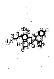 CC(C)(C)Oc1cc(C(=O)CC(N)=O)ccc1C1=N[C@@H](c2ccc(Cl)cc2)[C@@H](c2cncs2)N1C(=O)N1CCNC(=O)C1